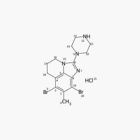 Cc1c(Br)c2c3c(nc(N4CCNCC4)n3CCC2)c1Br.Cl